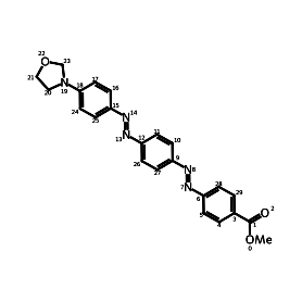 COC(=O)c1ccc(N=Nc2ccc(N=Nc3ccc(N4CCOC4)cc3)cc2)cc1